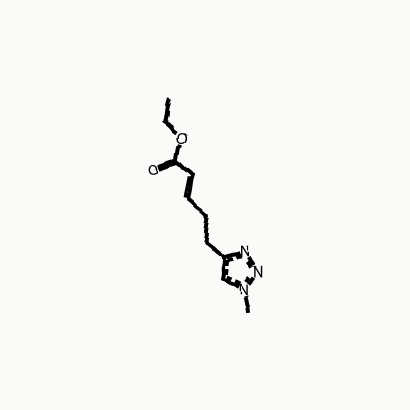 CCOC(=O)C=CCCc1cn(C)nn1